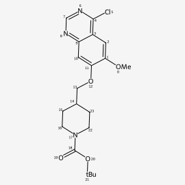 COc1cc2c(Cl)ncnc2cc1OCC1CCN(C(=O)OC(C)(C)C)CC1